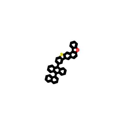 c1ccc2c(-c3c4ccccc4c(-c4ccc5sc6cc7c(ccc8oc9ccccc9c87)cc6c5c4)c4ccccc34)cccc2c1